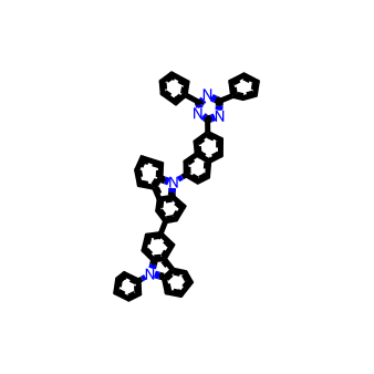 c1ccc(-c2nc(-c3ccccc3)nc(-c3ccc4ccc(-n5c6ccccc6c6cc(-c7ccc8c(c7)c7ccccc7n8-c7ccccc7)ccc65)cc4c3)n2)cc1